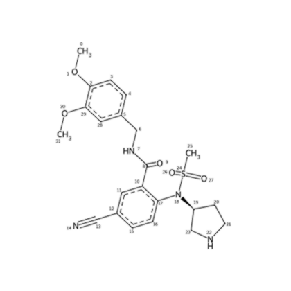 COc1ccc(CNC(=O)c2cc(C#N)ccc2N([C@H]2CCNC2)S(C)(=O)=O)cc1OC